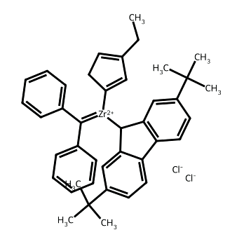 CCC1=CC[C]([Zr+2](=[C](c2ccccc2)c2ccccc2)[CH]2c3cc(C(C)(C)C)ccc3-c3ccc(C(C)(C)C)cc32)=C1.[Cl-].[Cl-]